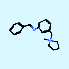 C[N+]1(Cc2cccc(N=Cc3ccccc3)c2)CCCC1